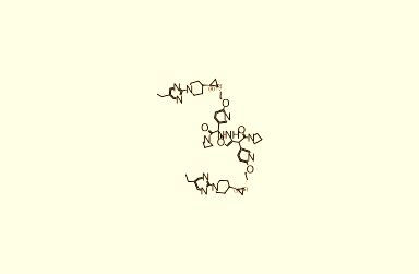 CCc1cnc(N2CCC([C@H]3C[C@@H]3CCOc3ccc(C(C(=O)N4CCC4)N4NC(C(C(=O)N5CCC5)c5ccc(OCC[C@@H]6C[C@H]6C6CCN(c7ncc(CC)cn7)CC6)nc5)=CO4)cn3)CC2)nc1